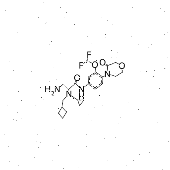 NC[C@H](C(=O)Nc1ccc(N2CCOCC2=O)c(OC(F)F)c1)N(CC1CCC1)C1CC1